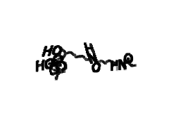 CCC(=O)NCCCCCC(=O)NCCCCC(CO)COP(=O)(O)OC(C)C